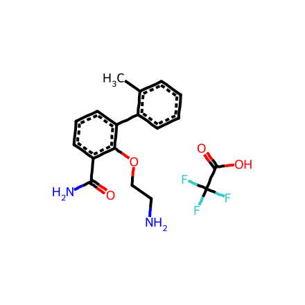 Cc1ccccc1-c1cccc(C(N)=O)c1OCCN.O=C(O)C(F)(F)F